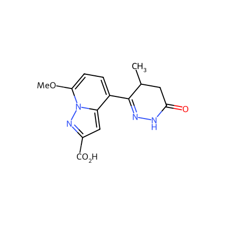 COc1ccc(C2=NNC(=O)CC2C)c2cc(C(=O)O)nn12